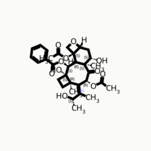 CC(=O)O[C@H]1C(=O)[C@@]2(C)[C@H]([C@H](OC(=O)c3ccccc3)[C@]3(O)CC[C@]3(C)/C1=C(/C)[C@H](C)O)[C@]1(OC(C)=O)CO[C@@H]1C[C@@H]2O